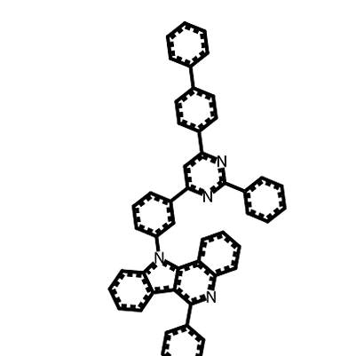 c1ccc(-c2ccc(-c3cc(-c4cccc(-n5c6ccccc6c6c(-c7ccccc7)nc7ccccc7c65)c4)nc(-c4ccccc4)n3)cc2)cc1